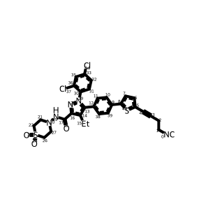 [C-]#[N+]CCC#Cc1ccc(-c2ccc(-c3c(CC)c(C(=O)NN4CCS(=O)(=O)CC4)nn3-c3ccc(Cl)cc3Cl)cc2)s1